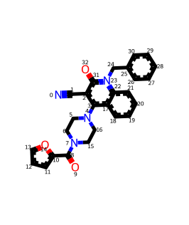 N#Cc1c(N2CCN(C(=O)c3ccco3)CC2)c2ccccc2n(Cc2ccccc2)c1=O